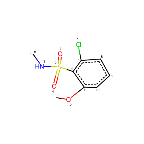 [CH2]NS(=O)(=O)c1c(Cl)cccc1OC